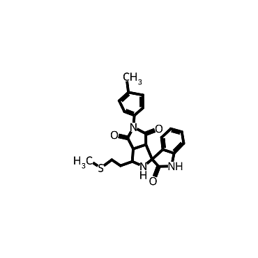 CSCCC1NC2(C(=O)Nc3ccccc32)C2C(=O)N(c3ccc(C)cc3)C(=O)C12